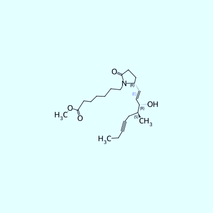 CCC#CC[C@H](C)[C@@H](O)/C=C/[C@H]1CCC(=O)N1CCCCCCC(=O)OC